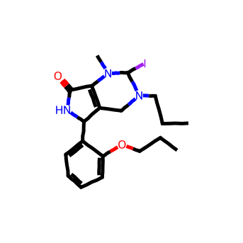 CCCOc1ccccc1C1NC(=O)C2=C1CN(CCC)C(I)N2C